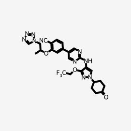 CC(Cn1cnnn1)Oc1cc(-c2cnc(Nc3cn(C4CCC(=O)CC4)nc3OCC(F)(F)F)nc2)ccc1C#N